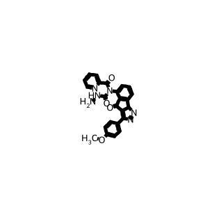 COc1ccc(C2=C3C(=O)c4c(cccc4N(C(=O)NN)C(=O)c4ccccn4)C3N=N2)cc1